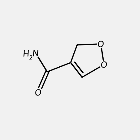 NC(=O)C1=COOC1